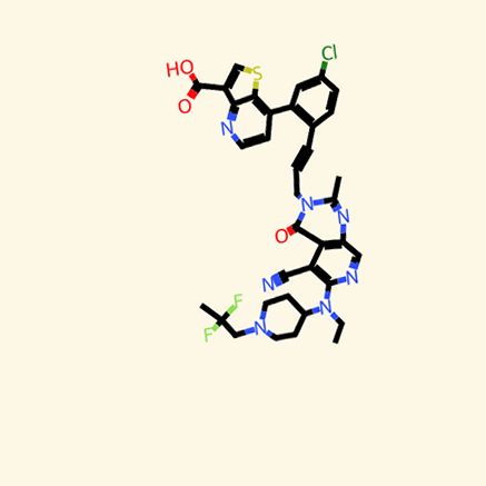 CCN(c1ncc2nc(C)n(CC#Cc3ccc(Cl)cc3-c3ccnc4c(C(=O)O)csc34)c(=O)c2c1C#N)C1CCN(CC(C)(F)F)CC1